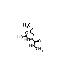 CNC(=O)[C@@H](CCSC)NC(=O)O